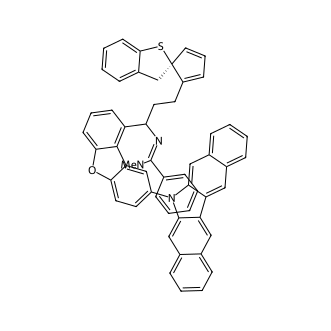 CN/C(=N\C(CCC1=CC=C[C@@]12Cc1ccccc1S2)c1cccc2oc3ccc(-n4c5cc6ccccc6cc5c5cc6ccccc6cc54)cc3c12)c1ccccc1